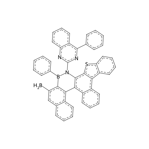 Bc1cc2ccccc2c2c1B(c1ccccc1)N(c1nc(-c3ccccc3)c3ccccc3n1)c1c-2c2ccccc2c2c1sc1ccccc12